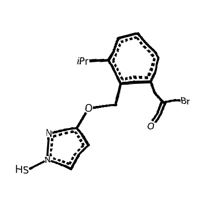 CC(C)c1cccc(C(=O)Br)c1COc1ccn(S)n1